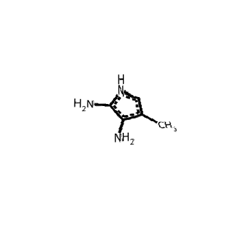 Cc1c[nH]c(N)c1N